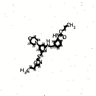 C=CCOC(=O)Nc1cccc(CNc2cc(N3CCOCC3)cc(CSc3ncc(CCC)o3)n2)c1